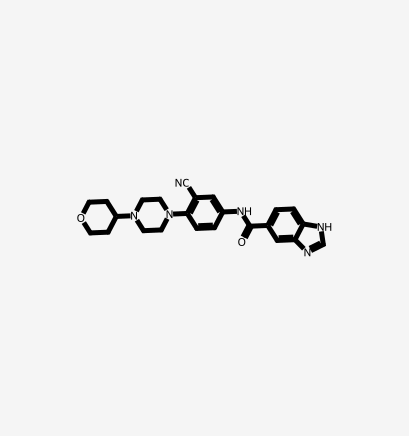 N#Cc1cc(NC(=O)c2ccc3[nH]cnc3c2)ccc1N1CCN(C2CCOCC2)CC1